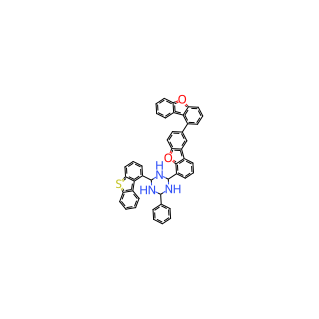 c1ccc(C2NC(c3cccc4c3oc3ccc(-c5cccc6oc7ccccc7c56)cc34)NC(c3cccc4sc5ccccc5c34)N2)cc1